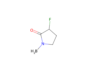 BN1CCC(F)C1=O